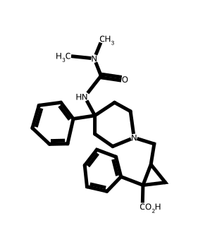 CN(C)C(=O)NC1(c2ccccc2)CCN(CC2CC2(C(=O)O)c2ccccc2)CC1